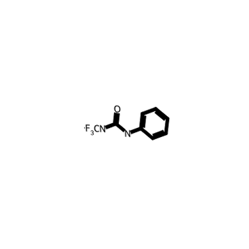 O=C([N]c1ccccc1)[N]C(F)(F)F